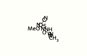 COc1ncc(-c2ccncc2)c2sc(NC(=O)c3cnn(C)c3)nc12